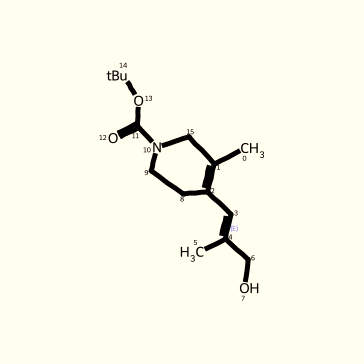 CC1=C(/C=C(\C)CO)CCN(C(=O)OC(C)(C)C)C1